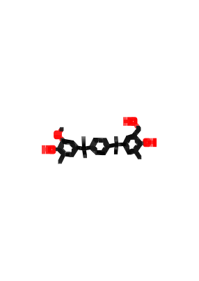 COc1cc(C(C)(C)c2ccc(C(C)(C)c3cc(C)c(O)c(CO)c3)cc2)cc(C)c1O